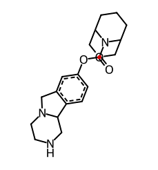 O=C(Oc1ccc2c(c1)CN1CCNCC21)N1C2CCCC1COC2